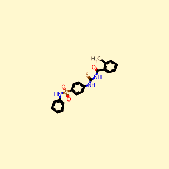 Cc1ccccc1C(=O)NC(=S)Nc1ccc(S(=O)(=O)Nc2ccccc2)cc1